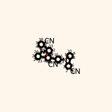 N#Cc1ccc2c(c1)c1ccccc1n2-c1ccc(-c2ccc(-c3ccccc3-n3c4ccccc4c4c(C#N)cccc43)cc2C#N)cc1